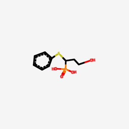 O=P(O)(O)C(CCO)Sc1ccccc1